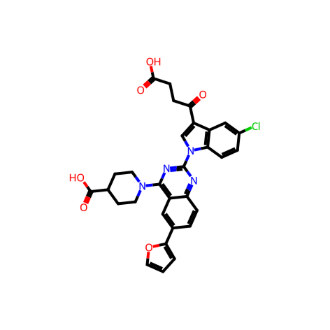 O=C(O)CCC(=O)c1cn(-c2nc(N3CCC(C(=O)O)CC3)c3cc(-c4ccco4)ccc3n2)c2ccc(Cl)cc12